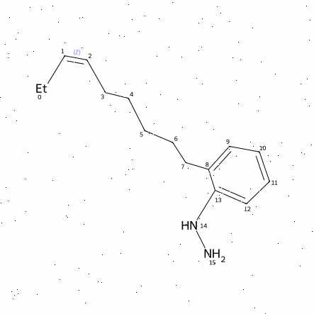 CC/C=C\CCCCCc1ccccc1NN